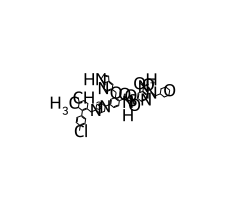 CC1(C)CCC(CN2CCN(c3ccc(C(=O)NS(=O)(=O)c4cnc(NCC5CCOCC5)c([N+](=O)[O-])c4)c(Oc4cnc5[nH]ccc5c4)c3)CC2)=C(c2ccc(Cl)cc2)C1